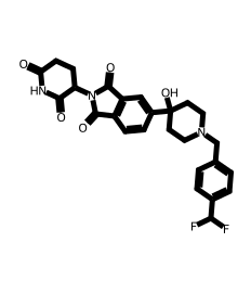 O=C1CCC(N2C(=O)c3ccc(C4(O)CCN(Cc5ccc(C(F)F)cc5)CC4)cc3C2=O)C(=O)N1